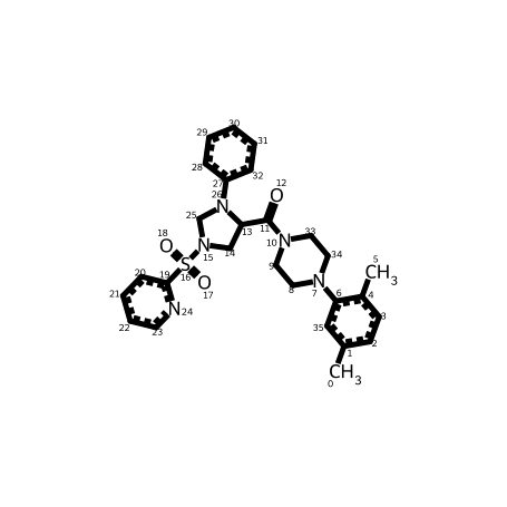 Cc1ccc(C)c(N2CCN(C(=O)C3CN(S(=O)(=O)c4ccccn4)CN3c3ccccc3)CC2)c1